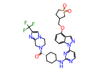 O=C([C@H]1CC[C@H](Nc2nccc(-n3ncc4c(OCC5CCS(=O)(=O)C5)cccc43)n2)CC1)N1CCn2cc(C(F)(F)F)nc2C1